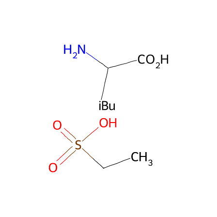 CCC(C)C(N)C(=O)O.CCS(=O)(=O)O